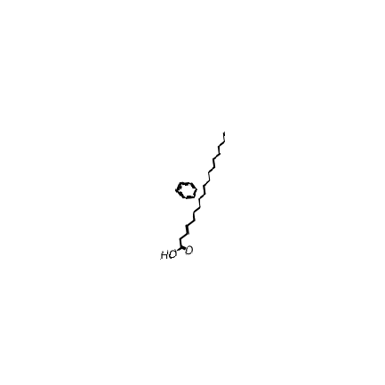 CCCCCCCCCCCCCCCCCC(=O)O.c1ccccc1